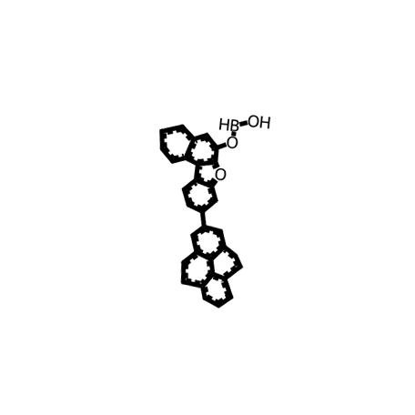 OBOc1cc2ccccc2c2c1oc1cc(-c3cc4ccc5cccc6ccc(c3)c4c56)ccc12